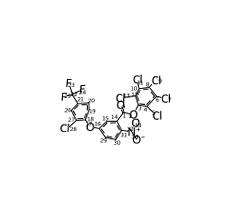 O=C(Oc1c(Cl)c(Cl)c(Cl)c(Cl)c1Cl)c1cc(Oc2ccc(C(F)(F)F)cc2Cl)ccc1[N+](=O)[O-]